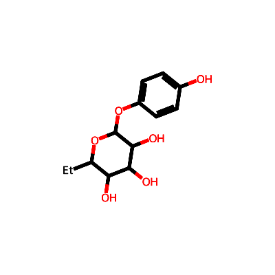 CCC1OC(Oc2ccc(O)cc2)C(O)C(O)C1O